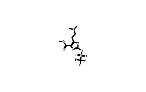 COC(=O)c1nc(OS(=O)(=O)C(F)(F)F)oc1CCN(C)C